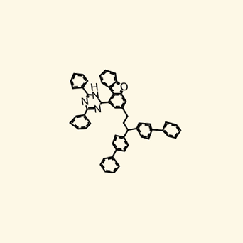 c1ccc(C2=NC(c3cc(CCC(c4ccc(-c5ccccc5)cc4)c4ccc(-c5ccccc5)cc4)cc4oc5ccccc5c34)NC(c3ccccc3)=N2)cc1